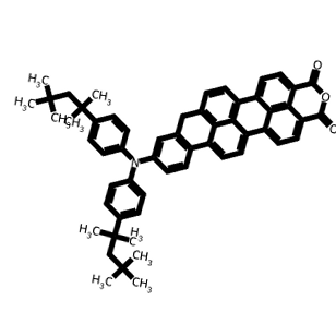 CC(C)(C)CC(C)(C)c1ccc(N(c2ccc(C(C)(C)CC(C)(C)C)cc2)c2ccc3c(c2)Cc2ccc4c5ccc6c7c(ccc(c8ccc-3c2c48)c75)C(=O)OC6=O)cc1